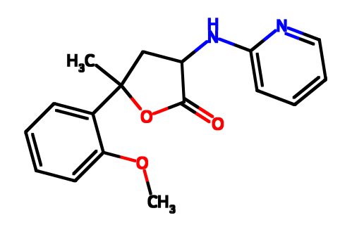 COc1ccccc1C1(C)CC(Nc2ccccn2)C(=O)O1